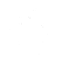 O=[N+]([O-])c1ncc(C(Cl)Cl)cc1C(Cl)(Cl)Cl